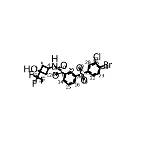 O=S(=O)(NC1CC(O)(C(F)(F)F)C1)c1cccc(S(=O)(=O)c2ccc(Br)c(Cl)c2)c1